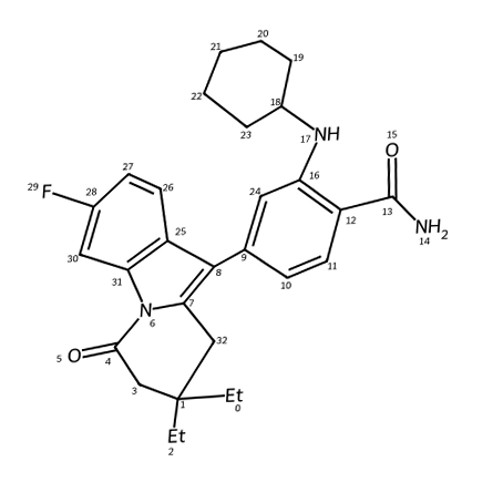 CCC1(CC)CC(=O)n2c(c(-c3ccc(C(N)=O)c(NC4CCCCC4)c3)c3ccc(F)cc32)C1